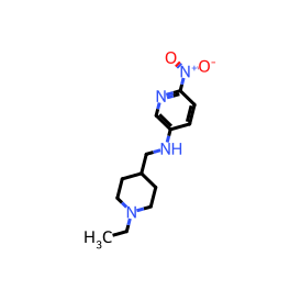 CCN1CCC(CNc2ccc([N+](=O)[O-])nc2)CC1